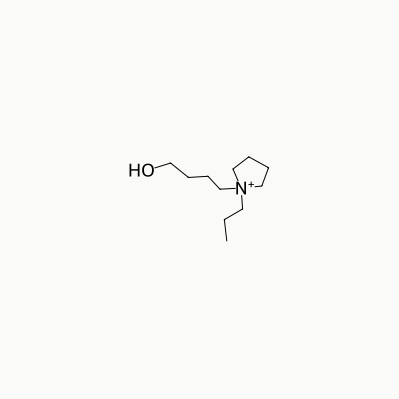 CCC[N+]1(CCCCO)CCCC1